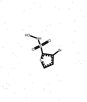 O=S(=O)(NO)c1sccc1Br